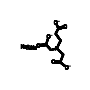 O=C([O-])CCN(CC(=O)[O-])CC(=O)[O-].[Na+].[Na+].[Na+]